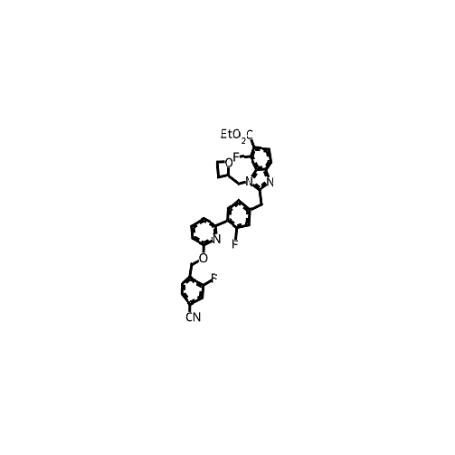 CCOC(=O)c1ccc2nc(Cc3ccc(-c4cccc(OCc5ccc(C#N)cc5F)n4)c(F)c3)n(CC3CCO3)c2c1F